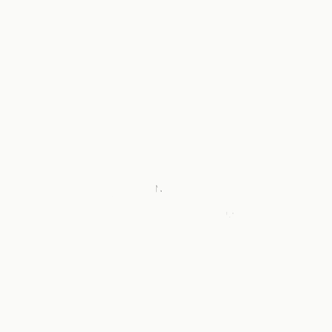 c1ccc2c(c1)CCN2C1CCOC1